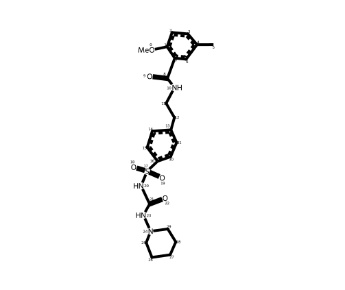 COc1ccc(C)cc1C(=O)NCCc1ccc(S(=O)(=O)NC(=O)NN2CCCCC2)cc1